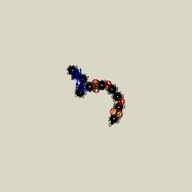 Cc1ccc(S(=O)(=O)c2ccc(Oc3ccc(-c4ccc(Oc5ccc(S(=O)(=O)c6ccc(-n7c(-c8cccc(-c9nc%10ccccc%10n9C)n8)nc8ccccc87)cc6)cc5)cc4)cc3)cc2)cc1